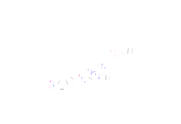 COC(=O)CCNC(=O)c1nc(NC(=O)c2cc3cc([N+](=O)[O-])ccc3o2)cn1C